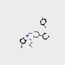 O=C(O)c1ccc2nc(CN3CCC(c4cccnc4OCc4ccc(Cl)cc4F)CC3)n(C[C@@H]3CCO3)c2c1